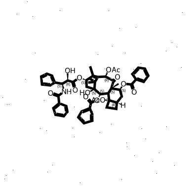 CC(=O)O[C@H]1C(=O)[C@@]2(C)C([C@H](OC(=O)c3ccccc3)[C@]3(O)C[C@H](OC(=O)[C@H](O)[C@@H](NC(=O)c4ccccc4)c4ccccc4)C(C)=C1C3(C)C)[C@]1(OC(C)=O)CC[C@@H]1C[C@@H]2OC(=O)c1ccccc1